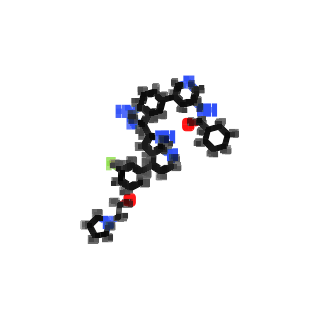 O=C(Nc1cncc(-c2ccc3[nH]nc(-c4cc5c(-c6cc(F)cc(OCCN7CCCC7)c6)ccnc5[nH]4)c3c2)c1)C1CCCCC1